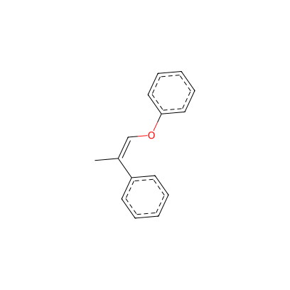 CC(=COc1ccccc1)c1ccccc1